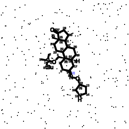 CC(C)(C)[Si](C)(C)OC[C@]12CC/C(=N/O[C@H]3CCNC3)C[C@@H]1CCC1C2CC[C@]2(C)C(=O)CCC12